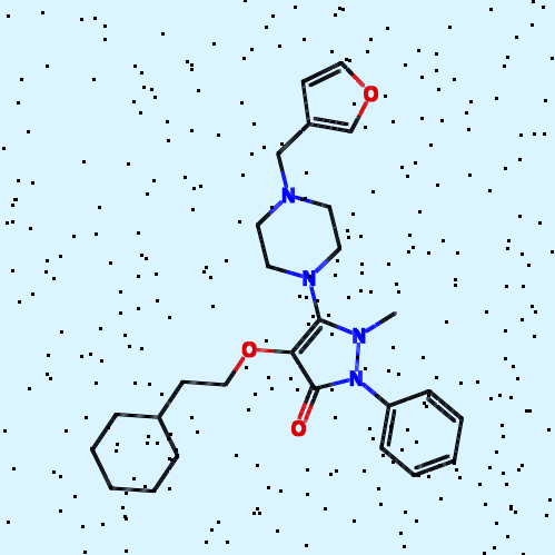 Cn1c(N2CCN(Cc3ccoc3)CC2)c(OCCC2CCCCC2)c(=O)n1-c1ccccc1